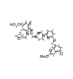 COc1cc2c(Cl)ccc(COc3cccc(N4C=NN(Cc5nc6c(F)cc(C(=O)O)cc6n5C[C@@H]5CCO5)CC4)n3)c2o1